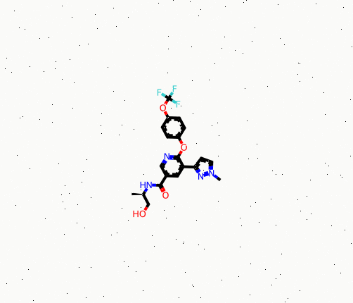 C[C@H](CO)NC(=O)c1cnc(Oc2ccc(OC(F)(F)F)cc2)c(-c2ccn(C)n2)c1